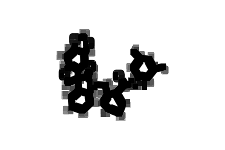 Cc1cc(C)cc(NC(=O)c2ccccc2CN2C(=O)C3(COc4cc5c(cc43)OCO5)c3ccccc32)c1